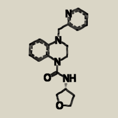 O=C(N[C@@H]1CCOC1)N1CCN(Cc2ccccn2)c2ccccc21